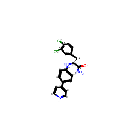 NC(=O)[C@@H](Cc1ccc(Cl)c(Cl)c1)Nc1ccc(-c2ccncc2)cc1